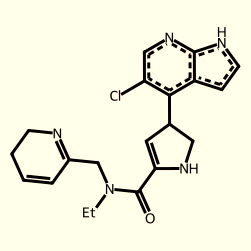 CCN(CC1=NCCC=C1)C(=O)C1=CC(c2c(Cl)cnc3[nH]ccc23)CN1